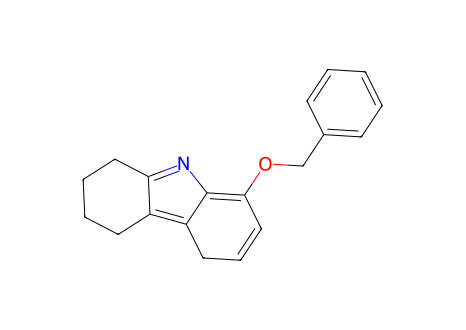 C1=CC(OCc2ccccc2)=C2N=C3CCCCC3=C2C1